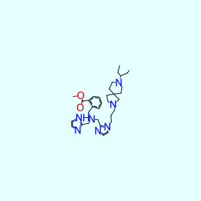 CCC(CC)N1CCC2(CCN(CCCn3ccnc3CN(Cc3ncc[nH]3)Cc3ccccc3C(=O)OC)C2)CC1